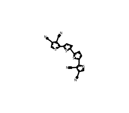 N#Cc1csc(-c2ccc(-c3ccc(-c4scc(C#N)c4C#N)s3)s2)c1C#N